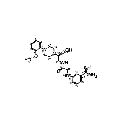 COc1ccccc1N1CCN(C(=O)CNC(=O)CNc2cccc(C(=N)N)c2)CC1.Cl